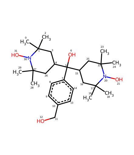 CC1(C)CC(C(O)(c2ccc(CO)cc2)C2CC(C)(C)N(O)C(C)(C)C2)CC(C)(C)N1O